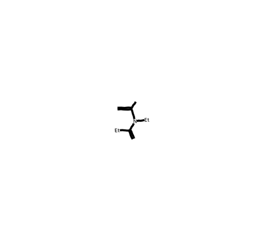 C=C(C)N(CC)C(=C)CC